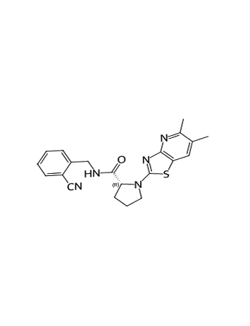 Cc1cc2sc(N3CCC[C@@H]3C(=O)NCc3ccccc3C#N)nc2nc1C